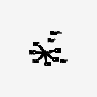 N#[C][Mn-4]([C]#N)([C]#N)([C]#N)([C]#N)[C]#N.[Mn+2].[Na+].[Na+]